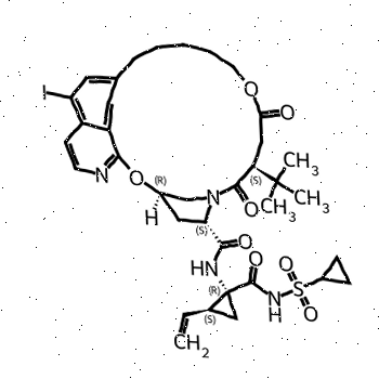 C=C[C@@H]1C[C@]1(NC(=O)[C@@H]1C[C@@H]2CN1C(=O)[C@H](C(C)(C)C)CC(=O)OCCCCCc1cc(I)c3ccnc(c3c1)O2)C(=O)NS(=O)(=O)C1CC1